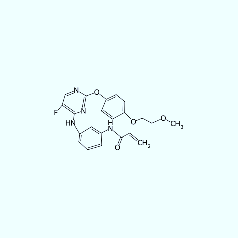 C=CC(=O)Nc1cccc(Nc2nc(Oc3ccc(OCCOC)cc3)ncc2F)c1